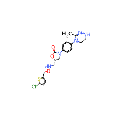 CC1=NNCCN1c1ccc(N2C[C@H](CNOCc3ccc(Cl)s3)OC2=O)cc1